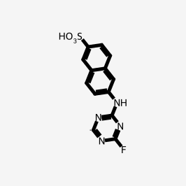 O=S(=O)(O)c1ccc2cc(Nc3n[c]nc(F)n3)ccc2c1